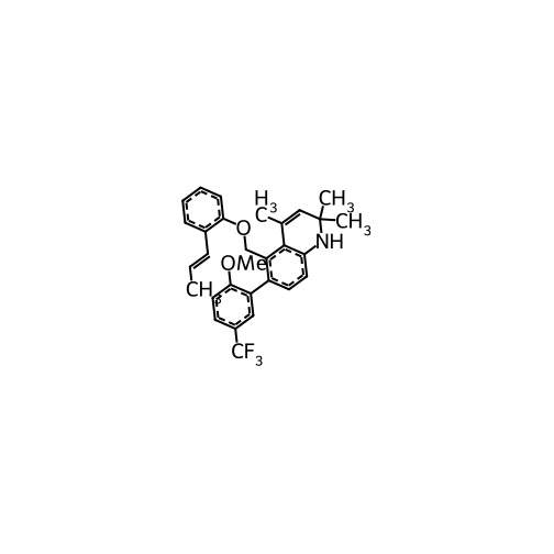 C/C=C/c1ccccc1OCc1c(-c2cc(C(F)(F)F)ccc2OC)ccc2c1C(C)=CC(C)(C)N2